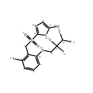 O=S(=O)(Cc1c(F)cccc1OCC(F)(F)C(F)F)c1ncc(Cl)s1